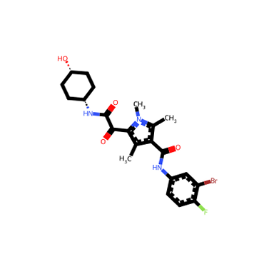 Cc1c(C(=O)Nc2ccc(F)c(Br)c2)c(C)n(C)c1C(=O)C(=O)N[C@H]1CC[C@@H](O)CC1